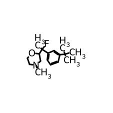 CN1CCOC(C(C)(F)c2cccc(C(C)(C)C)c2)C1